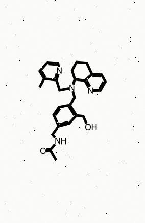 CC(=O)NCc1ccc(CN(Cc2ncccc2C)C2CCCc3cccnc32)c(CO)c1